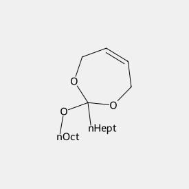 CCCCCCCCOC1(CCCCCCC)OCC=CCO1